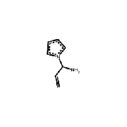 C=CC(N)n1cccc1